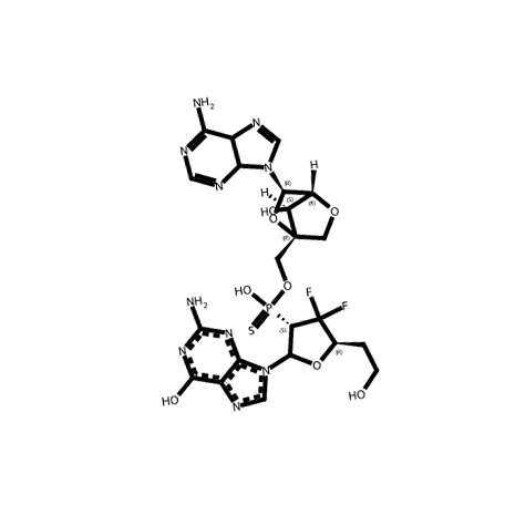 NC1=NC=NC2C1N=CN2[C@@H]1O[C@@]2(COP(O)(=S)[C@H]3C(n4cnc5c(O)nc(N)nc54)O[C@H](CCO)C3(F)F)CO[C@@H]1[C@@H]2O